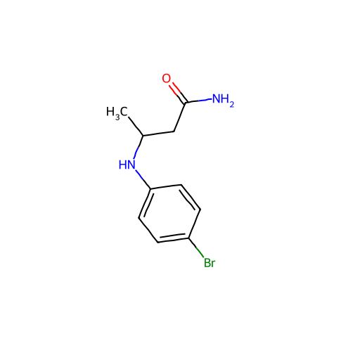 CC(CC(N)=O)Nc1ccc(Br)cc1